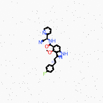 COc1c(C(=O)NC(C#N)c2ccccn2)ccc2[nH]nc(/C=C/c3ccc(F)cc3)c12